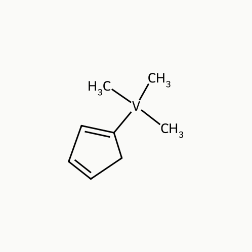 [CH3][V]([CH3])([CH3])[C]1=CC=CC1